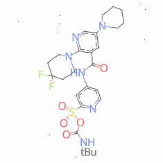 CC(C)(C)NC(=O)OS(=O)(=O)c1cc(NC(=O)c2cc(N3CCCCC3)cnc2N2CCC(F)(F)CC2)ccn1